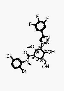 CO[C@@H]1[C@@H](n2cc(-c3cc(F)c(F)c(F)c3)nn2)[C@@H](O)[C@@H](CO)O[C@H]1C(=O)N(C)c1cc(Cl)ccc1Br